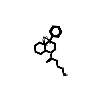 CC(C)(C)OCCC(=O)N1CC[C@@](O)(c2ccccc2)[C@H]2CCCCC21